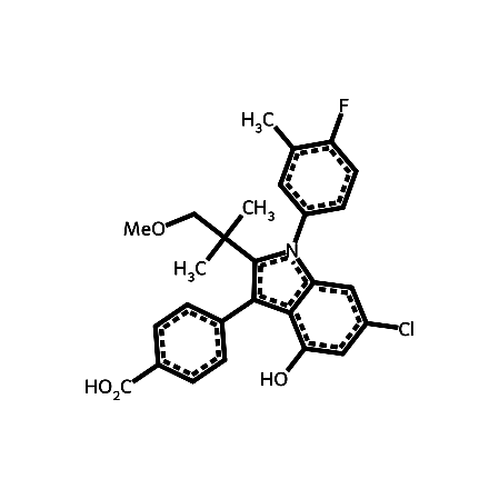 COCC(C)(C)c1c(-c2ccc(C(=O)O)cc2)c2c(O)cc(Cl)cc2n1-c1ccc(F)c(C)c1